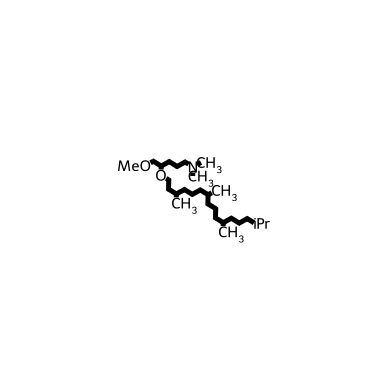 COCC(CCCN(C)C)OCCC(C)CCCC(C)CCCC(C)CCCC(C)C